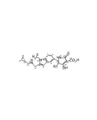 CCc1c(-c2ccc3c(c2)cc(CNCC2CC2)n3C)[nH]c(=O)c(C(=O)O)c1O